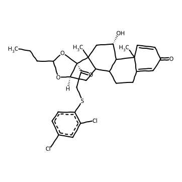 CCCC1O[C@@H]2CC3C4CCC5=CC(=O)C=CC5(C)C4[C@@H](O)CC3(C)[C@]2(C(=O)CSc2ccc(Cl)cc2Cl)O1